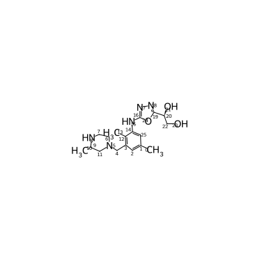 Cc1cc(CN2CCN[C@@H](C)C2)c(C)c(Nc2nnc([C@@H](O)CO)o2)c1